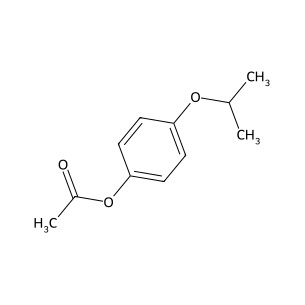 CC(=O)Oc1ccc(OC(C)C)cc1